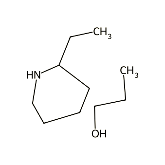 CCC1CCCCN1.CCCO